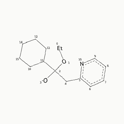 CCOC([O])(Cc1ccccn1)C1CCCCC1